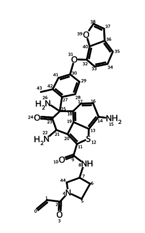 C=CC(=O)N1CCC(NC(=O)c2sc3c(N)ccc4c3c2C(N)C(=O)C4(N)c2ccc(Oc3cccc4ccoc34)cc2C)C1